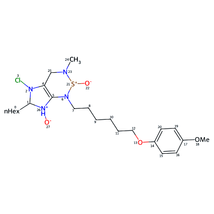 CCCCCCC1N(Cl)C2=C(N(CCCCCCOc3ccc(OC)cc3)[S+]([O-])N(C)C2)[NH+]1[O-]